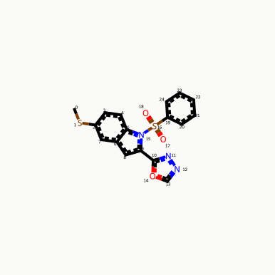 CSc1ccc2c(c1)cc(-c1nnco1)n2S(=O)(=O)c1ccccc1